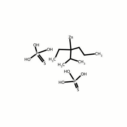 CCC[C]([Zn])(CC)C(C)C.OP(O)(O)=S.OP(O)(O)=S